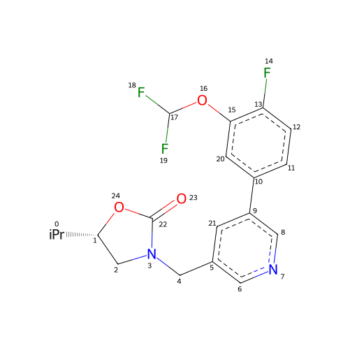 CC(C)[C@H]1CN(Cc2cncc(-c3ccc(F)c(OC(F)F)c3)c2)C(=O)O1